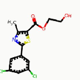 Cc1nc(-c2cc(Cl)cc(Cl)c2)sc1C(=O)OCCO